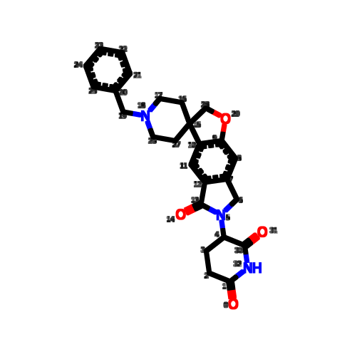 O=C1CCC(N2Cc3cc4c(cc3C2=O)C2(CCN(Cc3ccccc3)CC2)CO4)C(=O)N1